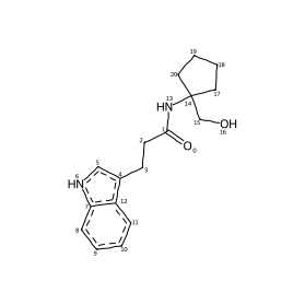 O=C(CCc1c[nH]c2ccccc12)NC1(CO)CCCC1